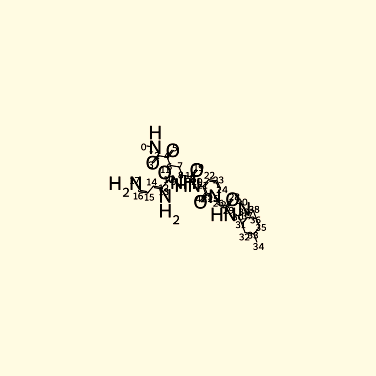 CNC(=O)C(=O)CCC(NC(=O)/C(N)=C/C=C\N)C(=O)Nc1cccn(CC(=O)NC2C3CC(C)CC(C3)CN2C)c1=O